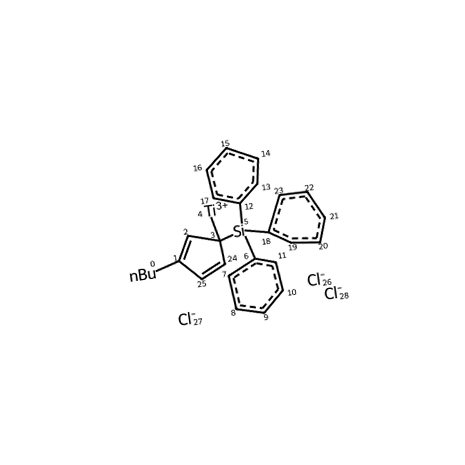 CCCCC1=C[C]([Ti+3])([Si](c2ccccc2)(c2ccccc2)c2ccccc2)C=C1.[Cl-].[Cl-].[Cl-]